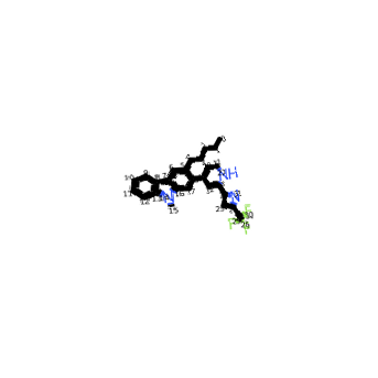 CCCCCc1cc2c3ccccc3n(C)c2cc1C1=CCNC(C2CC(C(F)(F)F)=N2)=C1